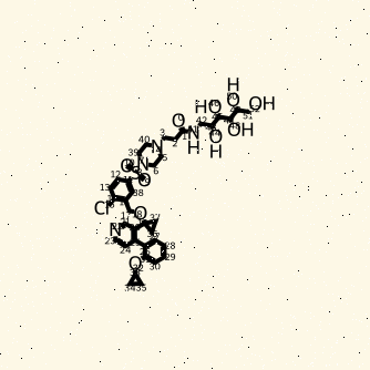 O=C(CCN1CCN(S(=O)(=O)c2ccc(Cl)c(COC3(c4cnccc4-c4ccccc4OC4CC4)CC3)c2)CC1)NCC(O)C(O)C(O)C(O)CO